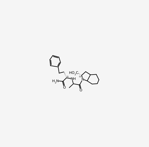 CC(N[C@@H](CCc1ccccc1)C(N)=O)C(=O)N1C2CCCCC2C[C@H]1C(=O)O